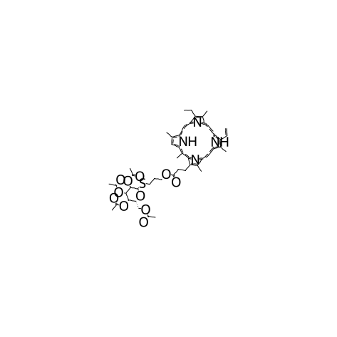 C=Cc1c(C)c2cc3nc(c(C)c4cc(C)c(cc5nc(cc1[nH]2)C(C)=C5CC)[nH]4)C(CCC(=O)OCCCS[C@@H]1O[C@H](COC(C)=O)[C@@H](OC(C)=O)[C@H](OC(C)=O)[C@H]1OC(C)=O)=C3C